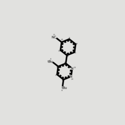 CC(C)(C)c1cc(C(C)(C)C)c(-c2cccc(C#N)c2)nn1